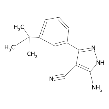 CC(C)(C)c1cccc(-c2n[nH]c(N)c2C#N)c1